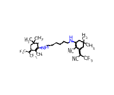 CC1(C)CC(NCCCCCCNC2=C(C#N)/C(=C(\C#N)C(F)(F)F)CC(C)(C)C2)=C(C#N)C(=C(C(F)(F)F)C(F)(F)F)C1